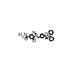 COc1cc(C(N)=O)cc2ncn(Cc3ccc(O[Si](c4ccccc4)(c4ccccc4)C(C)(C)C)cc3)c12